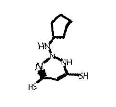 SC1=CC(S)=NN(NC2CCCC2)N1